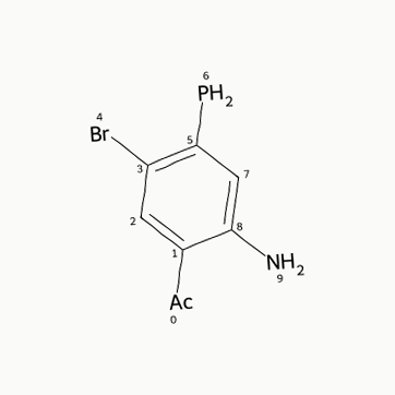 CC(=O)c1cc(Br)c(P)cc1N